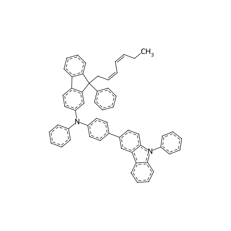 CC/C=C\C=C/CC1(c2ccccc2)c2ccccc2-c2ccc(N(c3ccccc3)c3ccc(-c4ccc5c(c4)c4ccccc4n5-c4ccccc4)cc3)cc21